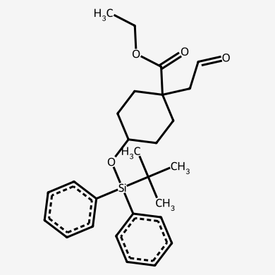 CCOC(=O)C1(CC=O)CCC(O[Si](c2ccccc2)(c2ccccc2)C(C)(C)C)CC1